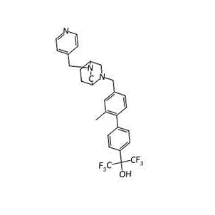 Cc1cc(CN2CC3CCC2CN3Cc2ccncc2)ccc1-c1ccc(C(O)(C(F)(F)F)C(F)(F)F)cc1